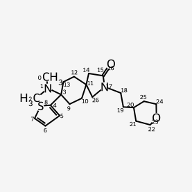 CN(C)C1(c2cccs2)CCC2(CC1)CC(=O)N(CCC1CCOCC1)C2